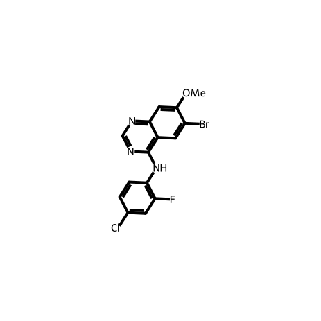 COc1cc2ncnc(Nc3ccc(Cl)cc3F)c2cc1Br